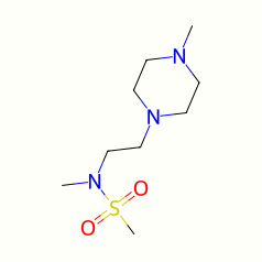 CN1CCN(CCN(C)S(C)(=O)=O)CC1